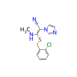 CNC(SCc1ccccc1Cl)=C(C#N)n1ccnc1